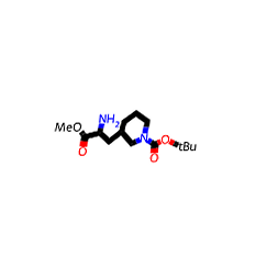 COC(=O)C(N)CC1CCCN(C(=O)OC(C)(C)C)C1